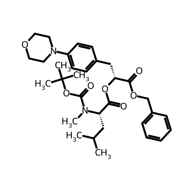 CC(C)C[C@@H](C(=O)O[C@H](Cc1ccc(N2CCOCC2)cc1)C(=O)OCc1ccccc1)N(C)C(=O)OC(C)(C)C